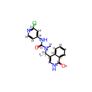 C[C@@H](c1c[nH]c(=O)c2ccccc12)N(C)C(=O)Nc1ccnc(Cl)c1